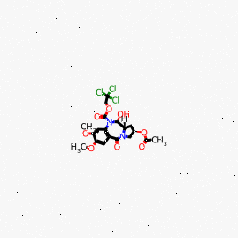 COc1cc2c(cc1OC)N(C(=O)OCC(Cl)(Cl)Cl)[C@@H](O)[C@@H]1C[C@@H](OC(C)=O)CN1C2=O